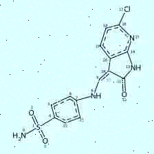 NS(=O)(=O)c1ccc(N/C=C2\C(=O)Nc3nc(Cl)ccc32)cc1